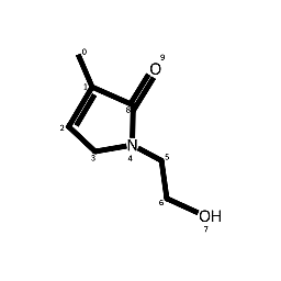 CC1=CCN(CCO)C1=O